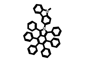 Cn1c2ccccc2c2cc(-n3c(C4=CC=CCC4)c4c(-c5ccccc5)c(-c5ccccc5)c(-c5ccccc5)c(-c5ccccc5)c4c3-c3ccccc3)ccc21